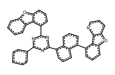 c1ccc(-c2nc(-c3cccc4c(-c5cccc6oc7cccnc7c56)cccc34)nc(-c3cccc4oc5ccccc5c34)n2)cc1